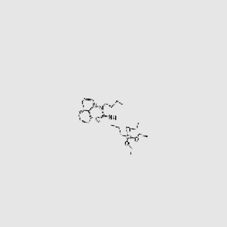 CCCCN(C(=O)NCCC[Si](OCC)(OCC)OCC)N1C=CCc2ccccc21